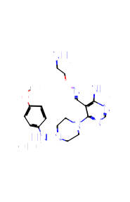 CC(C)Oc1ccc(NC=O)cc1.NCCON=Cc1c(N)ncnc1N1CCNCC1